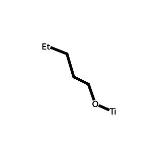 CCCCC[O][Ti]